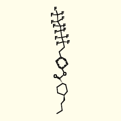 CCCC[C@H]1CC[C@H](C(=O)Oc2ccc(CCC(F)(F)C(F)(F)C(F)(F)C(F)(F)C(F)(F)C(F)(F)F)cc2)CC1